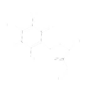 COC(=O)[C@](C)(O)CCC1=C(C)C(=O)C(C)=C(C)C1=O